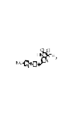 Cc1c(Cl)c(=O)[nH]c2cc(CN3CCN(c4ccc(C#N)cn4)CC3)cnc12